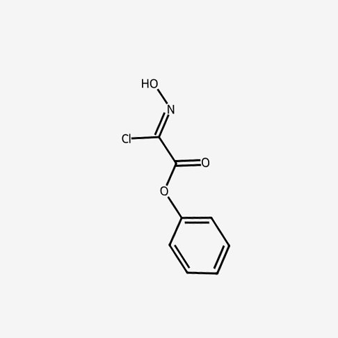 O=C(Oc1ccccc1)C(Cl)=NO